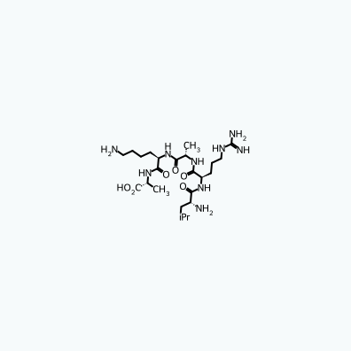 CC(C)C[C@@H](N)C(=O)N[C@H](CCCNC(=N)N)C(=O)N[C@@H](C)C(=O)N[C@H](CCCCN)C(=O)N[C@H](C)C(=O)O